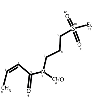 C/C=C\C(=O)N(C=O)CCCS(=O)(=O)CC